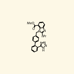 CCCc1nc2cccc(C(=O)OC)c2n1Cc1ccc(-c2ccccc2-c2nnn[nH]2)cc1